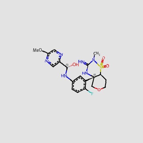 COc1cnc([C@H](O)Nc2ccc(F)c([C@]34COCCC3S(=O)(=O)N(C)C(=N)N4)c2)cn1